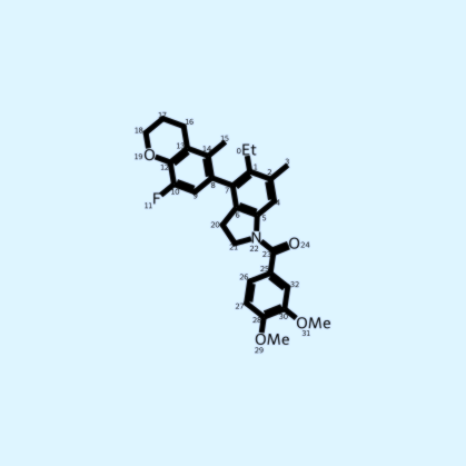 CCc1c(C)cc2c(c1-c1cc(F)c3c(c1C)CCCO3)CCN2C(=O)c1ccc(OC)c(OC)c1